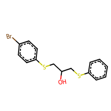 OC(CSc1ccccc1)CSc1ccc(Br)cc1